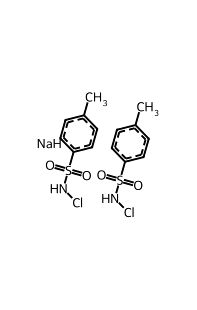 Cc1ccc(S(=O)(=O)NCl)cc1.Cc1ccc(S(=O)(=O)NCl)cc1.[NaH]